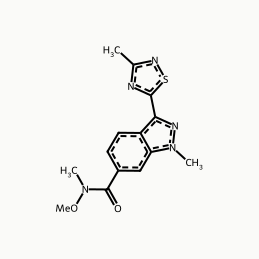 CON(C)C(=O)c1ccc2c(-c3nc(C)ns3)nn(C)c2c1